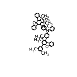 Cc1cc(C)cc(-c2cc3c(c4c2oc2ccccc24)-c2ccc(N(c4ccc5c(c4)C(C)(C)c4c6c(c7oc8ccccc8c7c4-5)-c4ccccc4C6(C)C)c4ccccc4C)cc2C3(C)C)c1